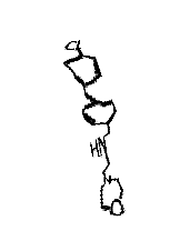 Clc1ccc(-c2ccc(CNCCN3CCOCC3)cc2)cc1